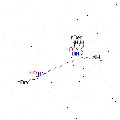 CCCCCCCCCCCCC(O)CNCCCCCCCCCCCC(CCCN)(CCCN)NCC(O)CCCCCCCCCCCC